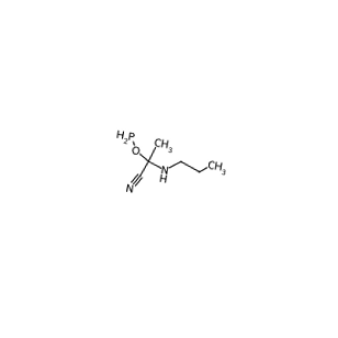 CCCNC(C)(C#N)OP